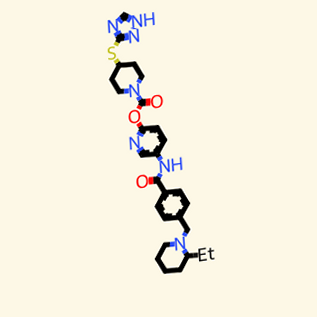 CCC1CCCCN1Cc1ccc(C(=O)Nc2ccc(OC(=O)N3CCC(Sc4nc[nH]n4)CC3)nc2)cc1